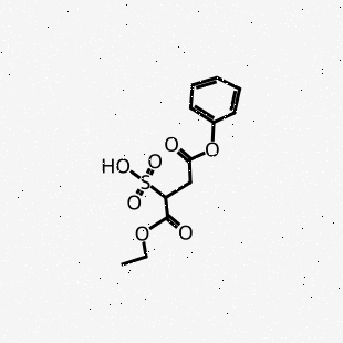 CCOC(=O)C(CC(=O)Oc1ccccc1)S(=O)(=O)O